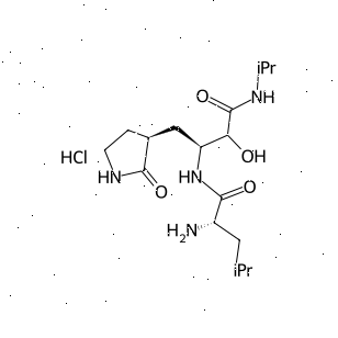 CC(C)C[C@H](N)C(=O)N[C@@H](C[C@@H]1CCNC1=O)C(O)C(=O)NC(C)C.Cl